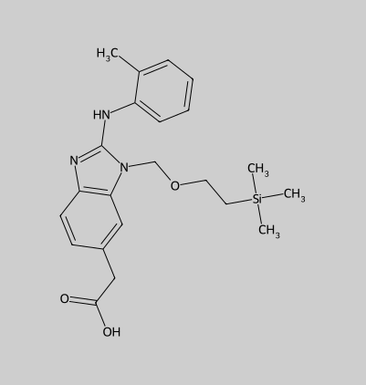 Cc1ccccc1Nc1nc2ccc(CC(=O)O)cc2n1COCC[Si](C)(C)C